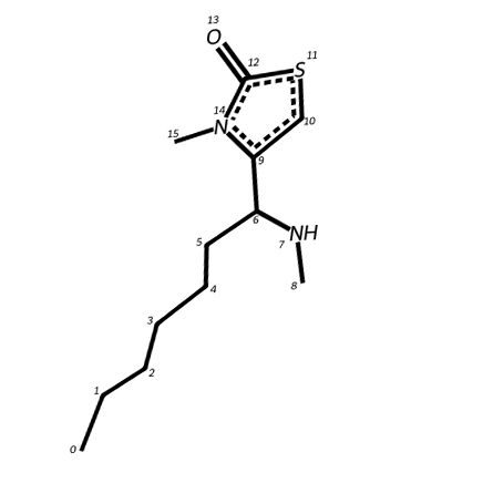 CCCCCCC(NC)c1csc(=O)n1C